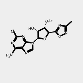 CC(=O)O[C@H]1[C@@H](O)[C@H](n2cnc3c(N)nc(Cl)nc32)O[C@@H]1c1nc(C)no1